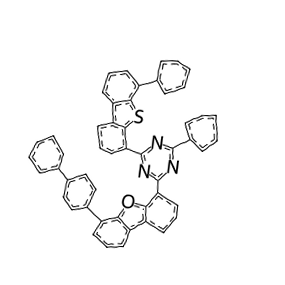 c1ccc(-c2ccc(-c3cccc4c3oc3c(-c5nc(-c6ccccc6)nc(-c6cccc7c6sc6c(-c8ccccc8)cccc67)n5)cccc34)cc2)cc1